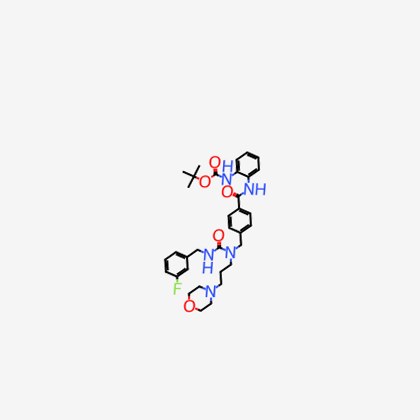 CC(C)(C)OC(=O)Nc1ccccc1NC(=O)c1ccc(CN(CCCN2CCOCC2)C(=O)NCc2cccc(F)c2)cc1